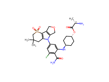 C[C@H](N)C(=O)O[C@H]1CC[C@H](Nc2cc(-n3c4c(c5c3CC(C)(C)CS5(=O)=O)COC4)cc(F)c2C(N)=O)CC1